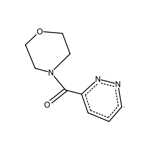 O=C(c1cc[c]nn1)N1CCOCC1